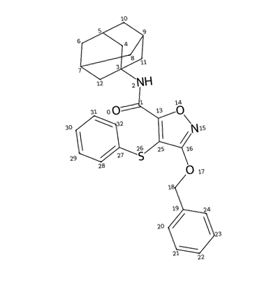 O=C(NC12CC3CC(CC(C3)C1)C2)c1onc(OCc2ccccc2)c1Sc1ccccc1